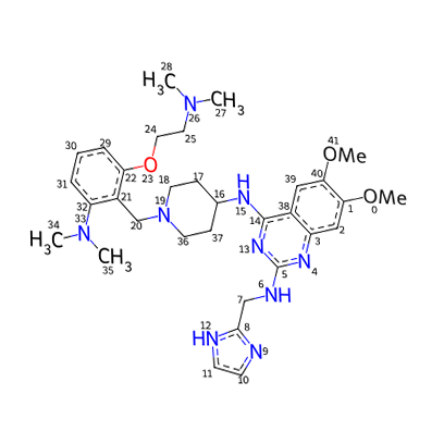 COc1cc2nc(NCc3ncc[nH]3)nc(NC3CCN(Cc4c(OCCN(C)C)cccc4N(C)C)CC3)c2cc1OC